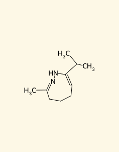 C/C1=N\N/C(C(C)C)=C\CCC1